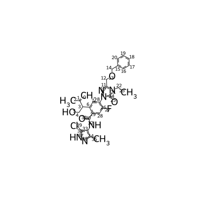 C=C(C)C(CO)c1cc(-n2nc(COCc3ccccc3)n(CC)c2=O)c(F)cc1C(=O)Nc1c(C)n[nH]c1Cl